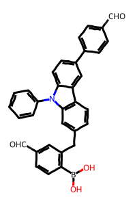 O=Cc1ccc(-c2ccc3c(c2)c2ccc(Cc4cc(C=O)ccc4B(O)O)cc2n3-c2ccccc2)cc1